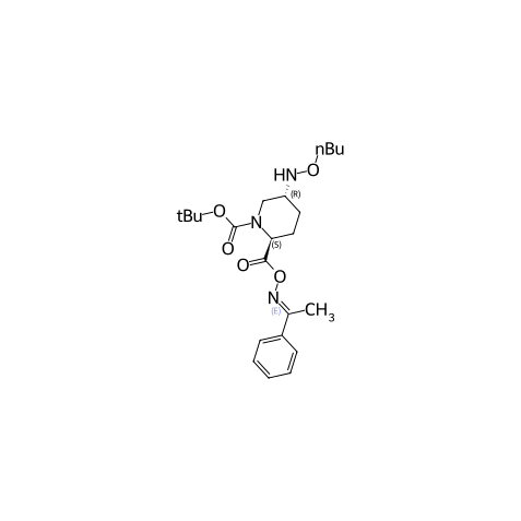 CCCCON[C@@H]1CC[C@@H](C(=O)O/N=C(\C)c2ccccc2)N(C(=O)OC(C)(C)C)C1